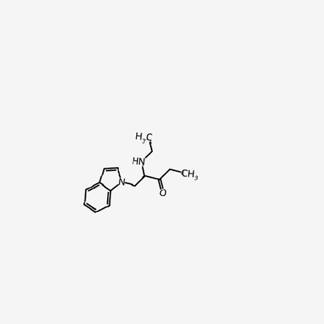 CCNC(Cn1ccc2ccccc21)C(=O)CC